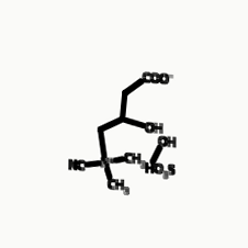 C[N+](C)(C#N)CC(O)CC(=O)[O-].O=S(=O)(O)O